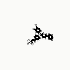 C=C(/C=C\C(=C)N(c1ccc(/C=C/C(=O)OC)cc1)c1ccc(C)c(C)c1)c1ccccc1